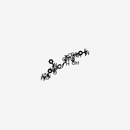 Cc1ncsc1-c1ccc([C@H](C)NC(=O)[C@@H]2C[C@@H](O)CN2C(=O)[C@@H](NC(=O)CCCN2CCC(CNC(=O)c3cccc(-c4noc(C(F)(F)F)n4)c3)(c3nc(-c4ccccc4)cs3)CC2)C(C)(C)C)cc1